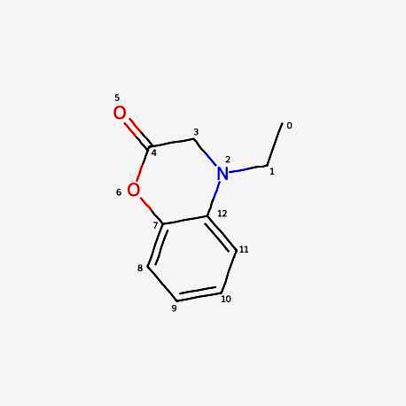 CCN1CC(=O)Oc2ccccc21